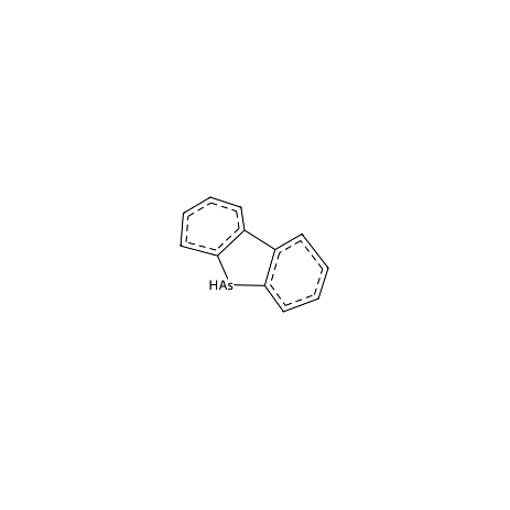 c1ccc2c(c1)[AsH]c1ccccc1-2